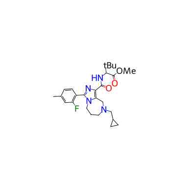 COC(=O)C(NC(=O)c1nc(-c2ccc(C)cc2F)n2c1CN(CC1CC1)CCC2)C(C)(C)C